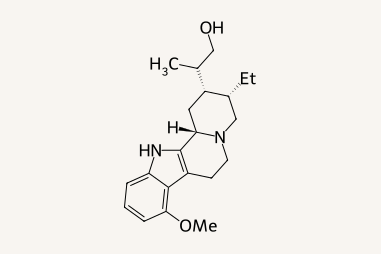 CC[C@@H]1CN2CCc3c([nH]c4cccc(OC)c34)[C@@H]2C[C@@H]1C(C)CO